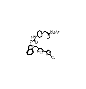 CNC(=O)CN1CCC(NC(=O)Oc2cc3ccccc3n2Cc2cc(-c3ccc(Cl)s3)on2)CC1